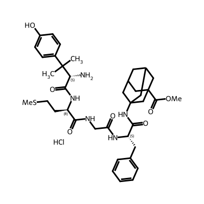 COC(=O)C12CC3CC(CC(NC(=O)[C@H](Cc4ccccc4)NC(=O)CNC(=O)[C@@H](CCSC)NC(=O)[C@@H](N)C(C)(C)c4ccc(O)cc4)(C3)C1)C2.Cl